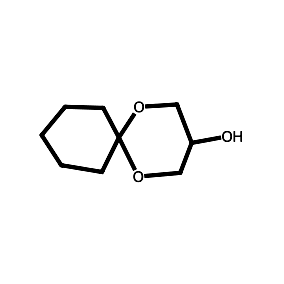 OC1COC2(CCCCC2)OC1